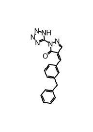 O=C1/C(=C\c2cccc(Cc3ccccc3)c2)C=NN1c1nnn[nH]1